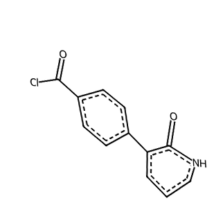 O=C(Cl)c1ccc(-c2ccc[nH]c2=O)cc1